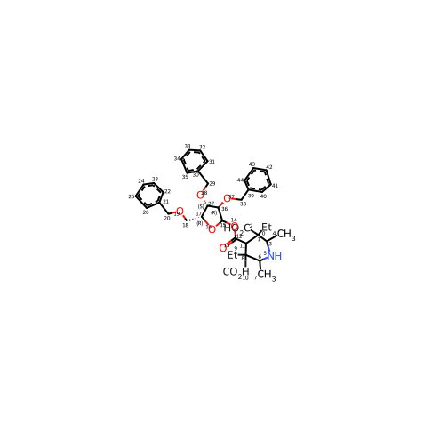 CCC1(C(=O)O)C(C)NC(C)C(CC)(C(=O)O)C1C(=O)OC1O[C@H](COCc2ccccc2)[C@H](OCc2ccccc2)[C@H]1OCc1ccccc1